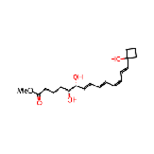 COC(=O)CCC[C@H](O)[C@H](O)/C=C/C=C/C=C\C=C\C1(O)CCC1